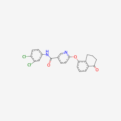 O=C(Nc1ccc(Cl)c(Cl)c1)c1ccc(Oc2cccc3c2CCCC3=O)nc1